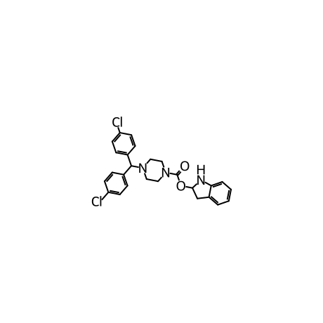 O=C(OC1Cc2ccccc2N1)N1CCN(C(c2ccc(Cl)cc2)c2ccc(Cl)cc2)CC1